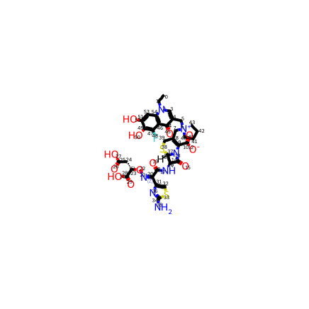 CCn1cc(C[N+]2(CC3=C(C(=O)[O-])N4C(=O)[C@@H](NC(=O)/C(=N\O[C@@H](CC(=O)O)C(=O)O)c5csc(N)n5)[C@H]4SC3)CCCC2)c(=O)c2c(F)c(O)c(O)cc21